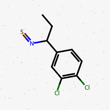 CCC(N=S)c1ccc(Cl)c(Cl)c1